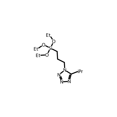 CCO[Si](CCCn1nnnc1C(C)C)(OCC)OCC